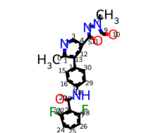 Cc1ncc(-c2nn(C)c(=O)o2)cc1-c1ccc(NC(=O)c2c(F)cccc2F)cc1